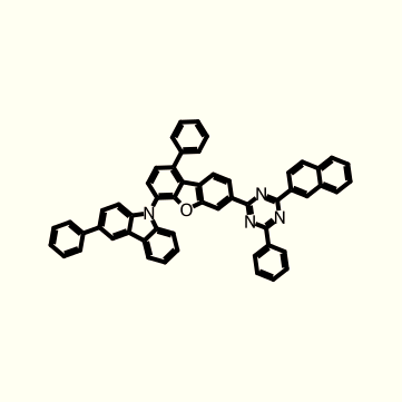 c1ccc(-c2ccc3c(c2)c2ccccc2n3-c2ccc(-c3ccccc3)c3c2oc2cc(-c4nc(-c5ccccc5)nc(-c5ccc6ccccc6c5)n4)ccc23)cc1